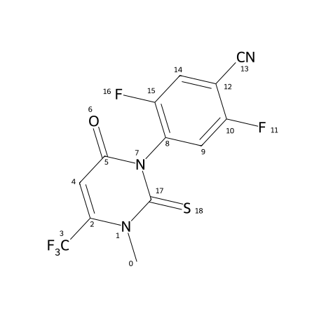 Cn1c(C(F)(F)F)cc(=O)n(-c2cc(F)c(C#N)cc2F)c1=S